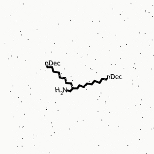 CCCCCCCCCCCCCCCCCCCC(CN)CCCCCCCCCCCCCCCCCC